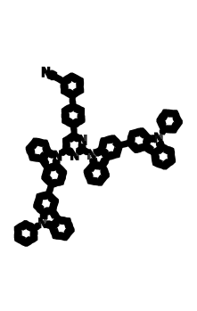 N#Cc1cccc(-c2ccc(-c3cc(-n4c5ccccc5c5cc(-c6ccc7c(c6)c6ccccc6n7-c6ccccc6)ccc54)nc(-n4c5ccccc5c5cc(-c6ccc7c(c6)c6ccccc6n7-c6ccccc6)ccc54)n3)cc2)c1